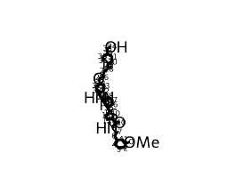 COc1cccc(CCNC(=O)c2ccc(-c3ccnc(Nc4ccc(OCCCN5CCC(CO)CC5)cc4)n3)s2)c1